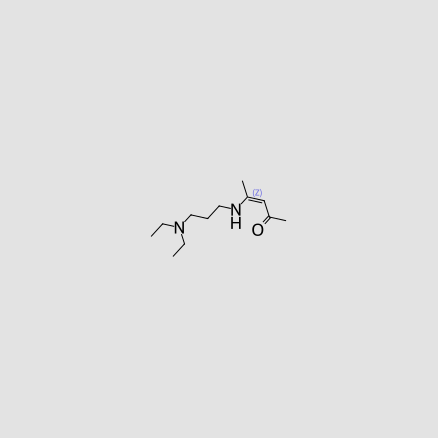 CCN(CC)CCCN/C(C)=C\C(C)=O